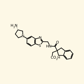 N[C@H]1CCN(c2ccc3sc(CNC(=O)C4(CC(=O)O)Cc5ccccc5C4)nc3c2)C1